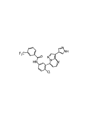 O=C(Nc1ccc(Cl)c(-c2ccnc3c(-c4cn[nH]c4)cnn23)c1)c1cccc(C(F)(F)F)c1